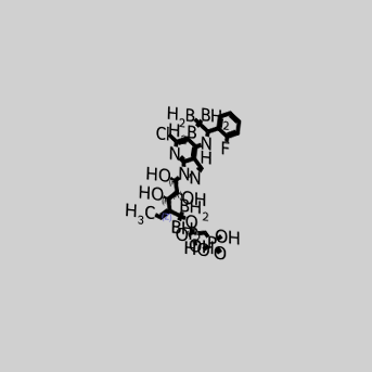 BC(B)(OP(=O)(O)CP(=O)(O)O)/C(=C/C)[C@@H](O)[C@@H](O)[C@@H](O)n1ncc2c(NC(c3ccccc3F)C(B)(B)B)cc(Cl)nc21